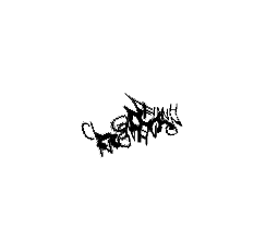 CNC(=O)c1n[nH]c2c(F)c(-c3c(F)ccc(NS(=O)(=O)c4cc(Cl)cnc4C)c3F)ncc12